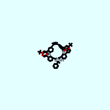 CC(C)(C)C1=Cc2c3c4n(c2CC1)-c1c(cccc1C1C=CC=CN1)C1=NC(C)(c2ccccc2)NC(=N1)C1=C(C(C2=CC=CCN2)CC=C1)n1c2ccc(C(C)(C)C)cc2c2cc(ccc21)C(C)(C)C(C)(C)C(=C3)CC4